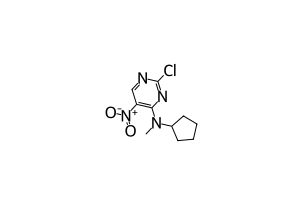 CN(c1nc(Cl)ncc1[N+](=O)[O-])C1CCCC1